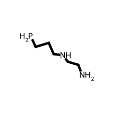 NCCNCCCP